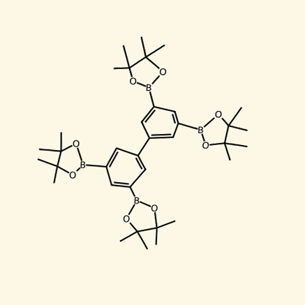 CC1(C)OB(c2cc(B3OC(C)(C)C(C)(C)O3)cc(-c3cc(B4OC(C)(C)C(C)(C)O4)cc(B4OC(C)(C)C(C)(C)O4)c3)c2)OC1(C)C